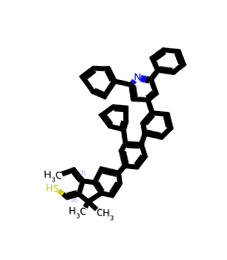 C/C=C1\C(=C/S)C(C)(C)c2ccc(-c3ccc(-c4cccc(-c5cc(-c6ccccc6)nc(-c6ccccc6)c5)c4)c(-c4ccccc4)c3)cc21